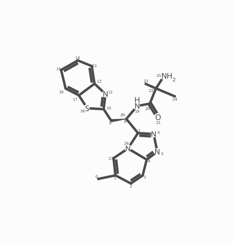 Cc1ccc2nnc([C@@H](Cc3nc4ccccc4s3)NC(=O)C(C)(C)N)n2c1